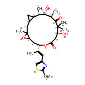 COc1nc(/C=C(\C)[C@@H]2CC3OC3(C)CC3CC3[C@H](C)[C@H](O)[C@@H](C)C(=O)C(C)(C)[C@@H](O)CC(=O)O2)cs1